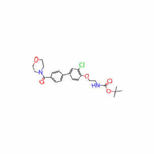 CC(C)(C)OC(=O)NCCOc1ccc(-c2ccc(C(=O)N3CCOCC3)cc2)cc1Cl